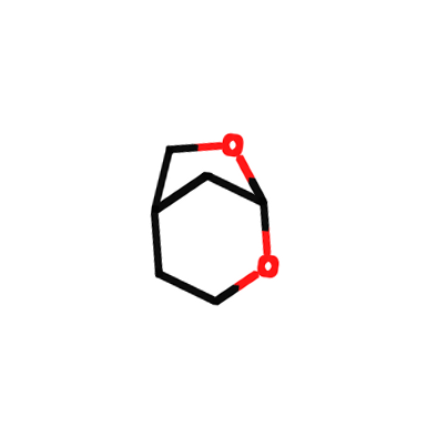 C1CC2COC(C2)O1